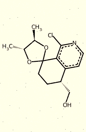 C[C@H]1OC2(CC[C@@H](CO)c3ccnc(Cl)c32)O[C@@H]1C